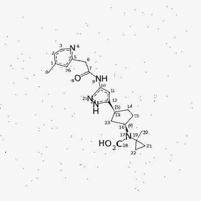 Cc1ccnc(CC(=O)Nc2cc([C@H]3CC[C@@H](N(C(=O)O)C4(C)CC4)C3)[nH]n2)c1